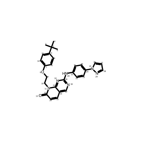 CC(C)(C)c1ccc(OCCn2c(=O)ccc3cnc(Nc4ccc(-n5cccn5)cc4)nc32)cc1